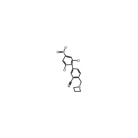 N#Cc1cc(-c2c(Cl)cc([N+](=O)[O-])cc2Cl)ccc1CN1CCC1